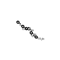 CCOC(=O)c1ccc(C(=O)Nc2cc(Nc3ncc4cc(-c5ccc(OCc6ccccc6)cc5C=O)ccc4n3)ccc2C)cc1